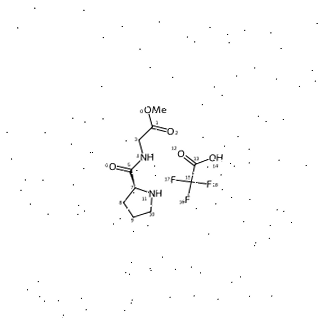 COC(=O)CNC(=O)[C@@H]1CCCN1.O=C(O)C(F)(F)F